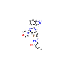 C[C@H](O)CNCc1cc2nc(-c3cccc4[nH]ncc34)nc(N3CCOCC3)c2s1